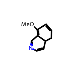 COC1=C2C=NC=CC2CC=C1